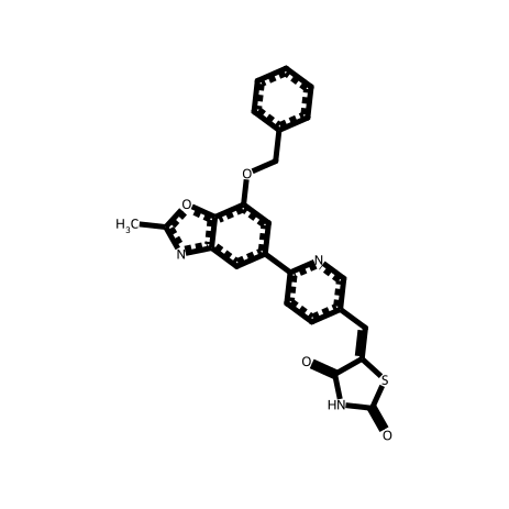 Cc1nc2cc(-c3ccc(C=C4SC(=O)NC4=O)cn3)cc(OCc3ccccc3)c2o1